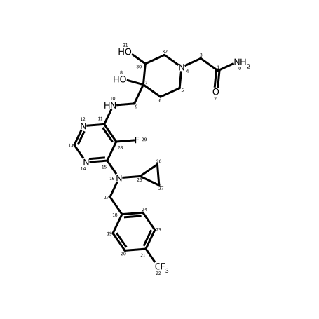 NC(=O)CN1CCC(O)(CNc2ncnc(N(Cc3ccc(C(F)(F)F)cc3)C3CC3)c2F)C(O)C1